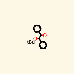 CC(C)(C)OC(C(=O)c1ccccc1)c1ccccc1